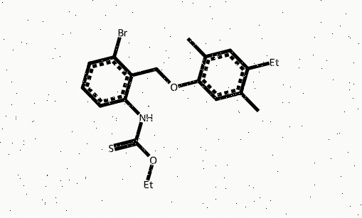 CCOC(=S)Nc1cccc(Br)c1COc1cc(C)c(CC)cc1C